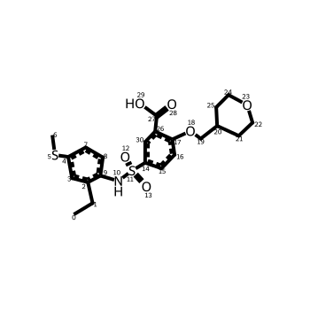 CCc1cc(SC)ccc1NS(=O)(=O)c1ccc(OCC2CCOCC2)c(C(=O)O)c1